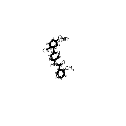 Cc1ccncc1C(=O)Nc1cnc(-c2cc(OC(C)C)ccc2Cl)cn1